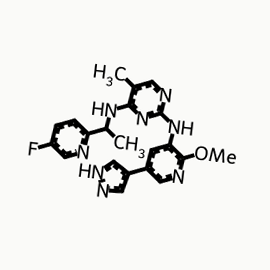 COc1ncc(-c2cn[nH]c2)cc1Nc1ncc(C)c(NC(C)c2ccc(F)cn2)n1